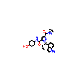 CNC(=O)c1cc(C(=O)NC2CCC(O)CC2)n([C@H](C)c2cccc3[nH]ccc23)n1